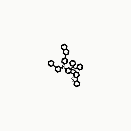 c1ccc(-c2cccc(N(c3ccc(-c4ccc5ccccc5c4)cc3)c3ccc4c(c3)[Si](c3ccccc3)(c3ccccc3)c3ccc5c(sc6ccccc65)c3-4)c2)cc1